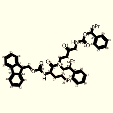 CCCC(OC(=O)NCC(=O)CCN(C[C@@H](CC)c1ccccc1)C(=O)C(CCC(C)C)NC(=O)OCC1c2ccccc2-c2ccccc21)c1ccccc1